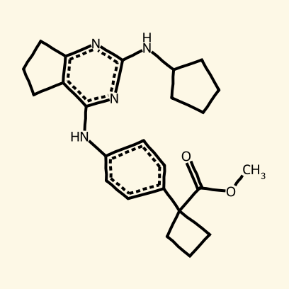 COC(=O)C1(c2ccc(Nc3nc(NC4CCCC4)nc4c3CCC4)cc2)CCC1